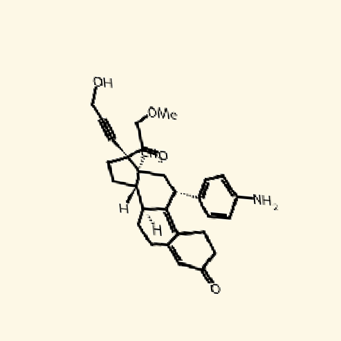 COCC(=O)[C@@]1(C#CCO)CC[C@H]2[C@@H]3CCC4=CC(=O)CCC4=C3[C@@H](c3ccc(N)cc3)C[C@@]21C